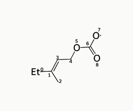 CCC(C)=CCOC([O])=O